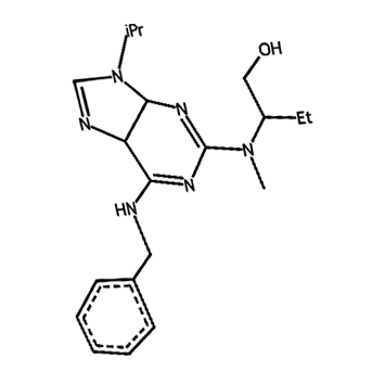 CCC(CO)N(C)C1=NC2C(N=CN2C(C)C)C(NCc2ccccc2)=N1